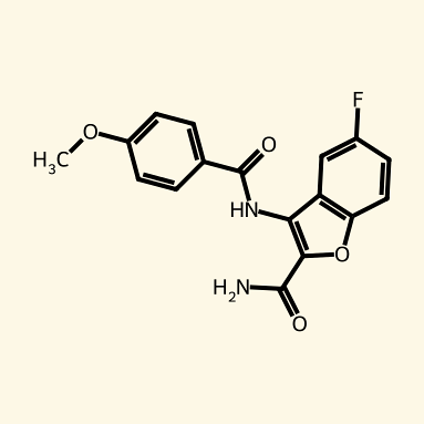 COc1ccc(C(=O)Nc2c(C(N)=O)oc3ccc(F)cc23)cc1